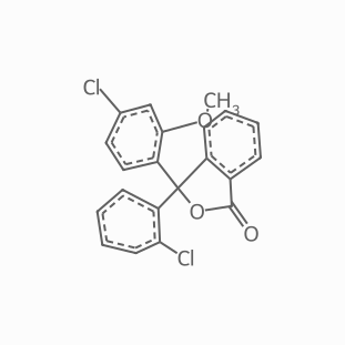 COc1cc(Cl)ccc1C1(c2ccccc2Cl)OC(=O)c2ccccc21